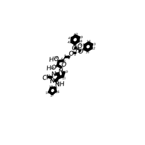 O=P(COCC[C@H]1O[C@@H](n2ccc3c(NC4CCCC4)nc(Cl)nc32)[C@H](O)[C@@H]1O)(Oc1ccccc1)Oc1ccccc1